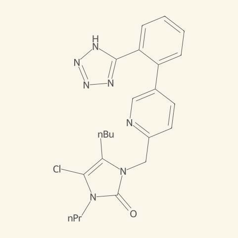 CCCCc1c(Cl)n(CCC)c(=O)n1Cc1ccc(-c2ccccc2-c2nnn[nH]2)cn1